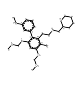 COCOc1cc(OCOC)c(-c2cccc(OC)c2)c(CCOCC2CCCCO2)c1Br